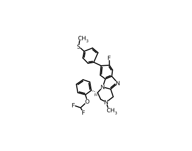 CSc1ccc(-c2cc3c(cc2F)nc2n3[C@@H](c3ccccc3OC(F)F)CN(C)C2)cc1